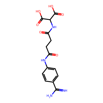 N=C(N)c1ccc(NC(=O)CCC(=O)NC(C(=O)O)C(=O)O)cc1